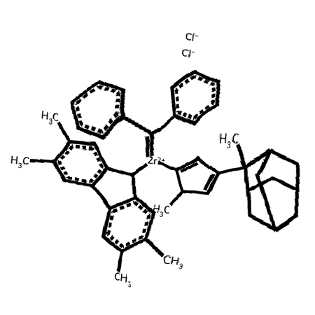 Cc1cc2c(cc1C)[CH]([Zr+2]([C]1=CC(C3(C)C4CC5CC(C4)CC3C5)=CC1C)=[C](c1ccccc1)c1ccccc1)c1cc(C)c(C)cc1-2.[Cl-].[Cl-]